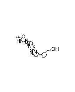 O=C(Nc1cn2nc(Sc3nnc4ccc(-c5cccc(CCCO)c5)cn34)ccc2n1)C1CC1